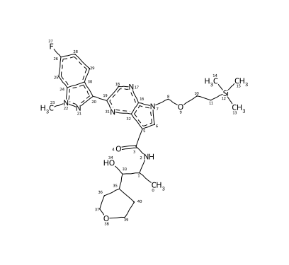 CC(NC(=O)c1cn(COCC[Si](C)(C)C)c2ncc(-c3nn(C)c4cc(F)ccc34)nc12)C(O)C1CCOCC1